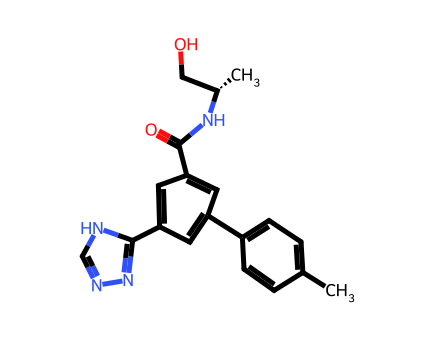 Cc1ccc(-c2cc(C(=O)N[C@@H](C)CO)cc(-c3nnc[nH]3)c2)cc1